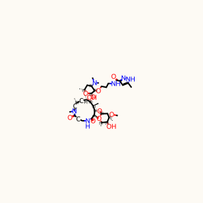 CO[C@]1(C)C[C@H](O[C@H]2[C@H](C)[C@@H](O[C@@H]3O[C@H](C)C[C@H](N(C)C)[C@H]3OCCCNC(=O)c3cc(C)[nH]n3)[C@](C)(O)C[C@@H](C)CN(C)C(=O)CCNC(=O)[C@@H]2C)O[C@@H](C)[C@@H]1O